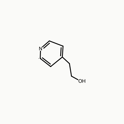 OCCc1c[c]ncc1